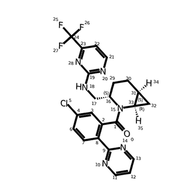 O=C(c1cc(Cl)ccc1-c1ncccn1)N1[C@H](CNc2nccc(C(F)(F)F)n2)CC[C@H]2C[C@H]21